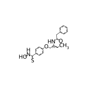 CC[C@@H](COc1ccc(C(=S)NO)cc1)NC(=O)Cc1ccccc1